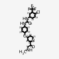 CNCC(=O)c1cc(Oc2ccc(NC(=O)Nc3ccc(Cl)c(C(F)(F)F)c3)cc2)ccn1